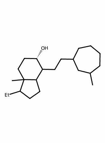 CCC1CCC2C(CCC3CCCCC(C)C3)[C@@H](O)CCC12C